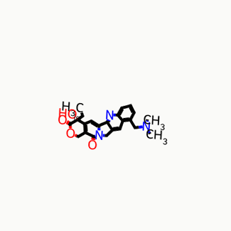 CC[C@@]1(O)C(=O)OCc2c1cc1n(c2=O)Cc2cc3c(CN(C)C)cccc3nc2-1